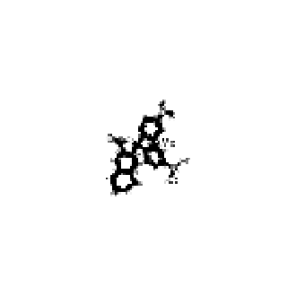 CCN(CC)c1ccc(C2(c3ccc(N(C)C)cc3)OC(=O)c3cc4ccccc4cc32)c(OC)c1